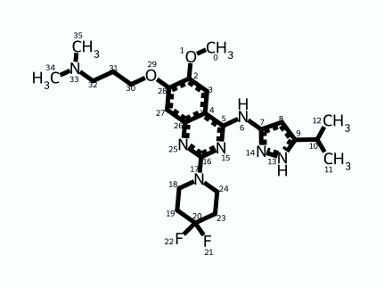 COc1cc2c(Nc3cc(C(C)C)[nH]n3)nc(N3CCC(F)(F)CC3)nc2cc1OCCCN(C)C